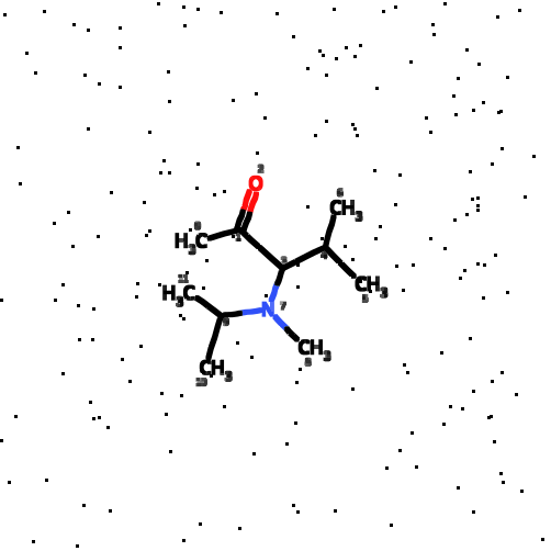 CC(=O)C(C(C)C)N(C)C(C)C